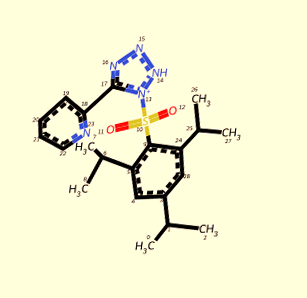 CC(C)c1cc(C(C)C)c(S(=O)(=O)[n+]2[nH]nnc2-c2ccccn2)c(C(C)C)c1